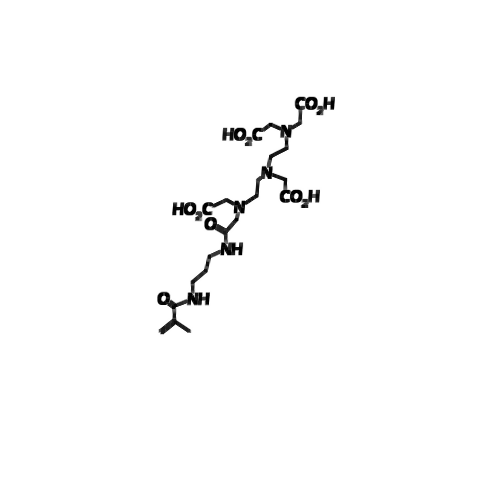 C=C(C)C(=O)NCCCNC(=O)CN(CCN(CCN(CC(=O)O)CC(=O)O)CC(=O)O)CC(=O)O